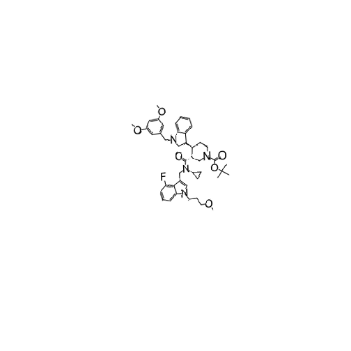 COCCCn1cc(CN(C(=O)[C@H]2CN(C(=O)OC(C)(C)C)CC[C@@H]2C2CN(Cc3cc(OC)cc(OC)c3)c3ccccc32)C2CC2)c2c(F)cccc21